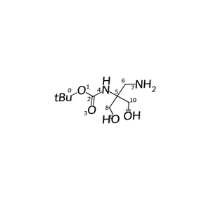 CC(C)(C)OC(=O)NC(CN)(CO)CO